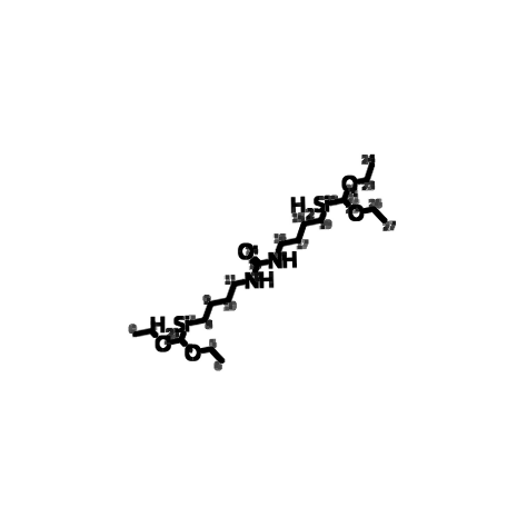 CCOC(OCC)[SiH2]CCCCNC(=O)NCCCC[SiH2]C(OCC)OCC